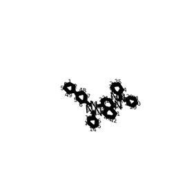 c1ccc(-c2ccc(-c3nc(-c4ccccc4)nc(C4CCc5c(nc6n(-c7ccccc7)c7ccccc7n56)-c5ccccc54)n3)cc2)cc1